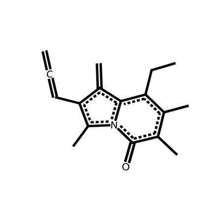 C=C=Cc1c(C)n2c(=O)c(C)c(C)c(CC)c2c1=C